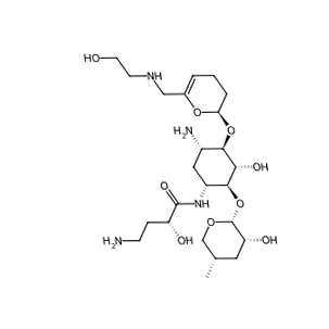 C[C@@H]1CO[C@H](O[C@@H]2[C@@H](O)[C@H](O[C@@H]3CCC=C(CNCCO)O3)[C@@H](N)C[C@H]2NC(=O)[C@H](O)CCN)[C@H](O)C1